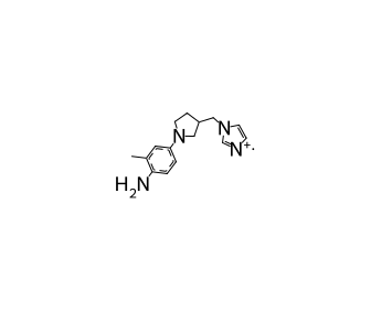 Cc1cc(N2CCC(CN3C=C[N+]=C3)C2)ccc1N